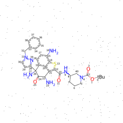 CC(C)(C)OC(=O)N1CCC[C@@H](NC(=O)c2sc3c(N)ccc4c3c2C(N)C(=O)C4(N)c2ccn(Cc3ccccc3)n2)C1